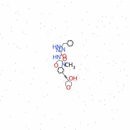 CN1C(=O)[C@@H](NC(=O)c2n[nH]c(Cc3ccccc3)n2)COc2ccc(C#CC3(O)CCOCC3)cc21